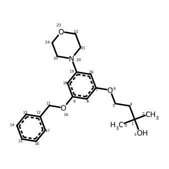 CC(C)(O)CCOc1cc(OCc2ccccc2)cc(N2CCOCC2)c1